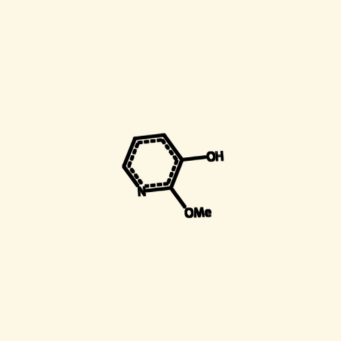 COc1ncccc1O